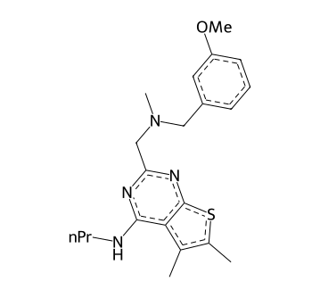 CCCNc1nc(CN(C)Cc2cccc(OC)c2)nc2sc(C)c(C)c12